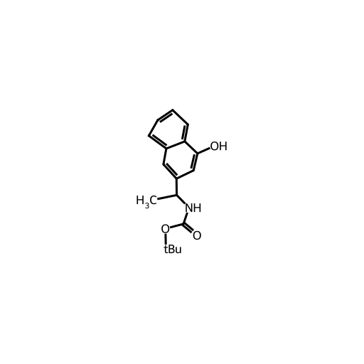 CC(NC(=O)OC(C)(C)C)c1cc(O)c2ccccc2c1